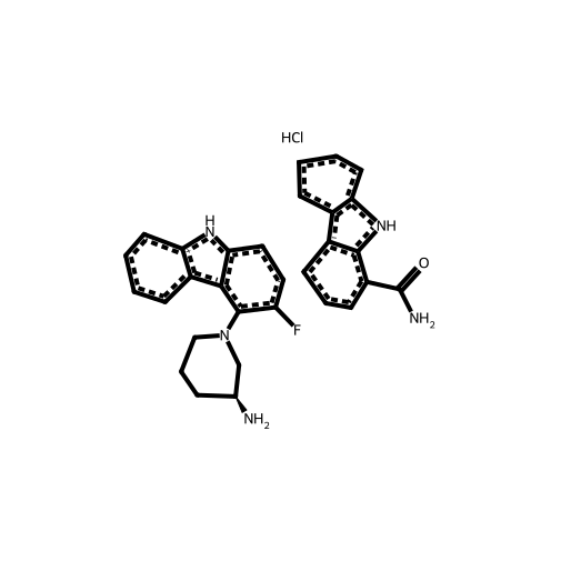 Cl.NC(=O)c1cccc2c1[nH]c1ccccc12.N[C@H]1CCCN(c2c(F)ccc3[nH]c4ccccc4c23)C1